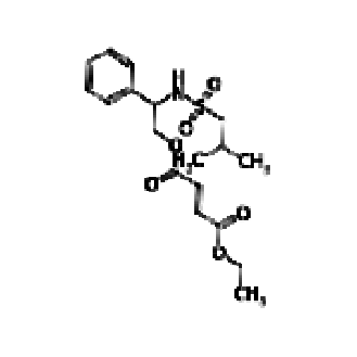 CCOC(=O)/C=C/C(=O)OCC(NS(=O)(=O)CC(C)C)c1ccccc1